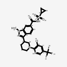 Cn1nc(C2CCCN(c3ncc(C(F)(F)F)cc3Cl)C2)c2ccc(C(=O)NS(=O)(=O)C3CC3)cc21